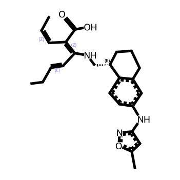 C\C=C/C(C(=O)O)=C(\C=C\CC)NC[C@@H]1CCCc2cc(Nc3cc(C)on3)ccc21